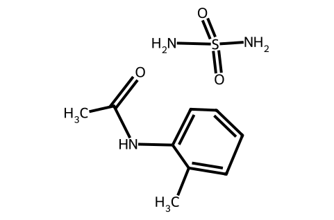 CC(=O)Nc1ccccc1C.NS(N)(=O)=O